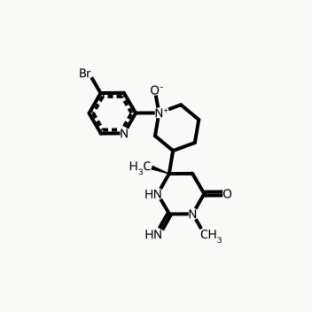 CN1C(=N)N[C@](C)(C2CCC[N+]([O-])(c3cc(Br)ccn3)C2)CC1=O